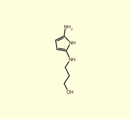 Nc1ccc(NCCCO)[nH]1